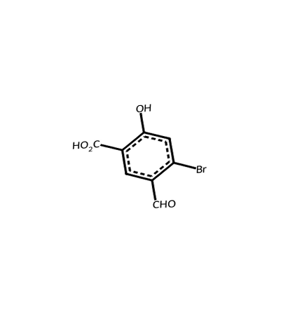 O=Cc1cc(C(=O)O)c(O)cc1Br